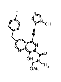 COCN(C)C(=O)c1nc(C#Cc2cncn2C)c2cc(Cc3ccc(F)cc3)cnc2c1O